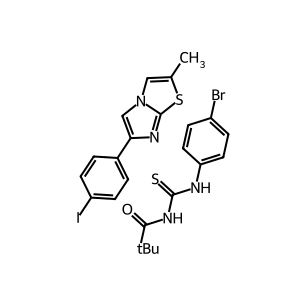 CC(C)(C)C(=O)NC(=S)Nc1ccc(Br)cc1.Cc1cn2cc(-c3ccc(I)cc3)nc2s1